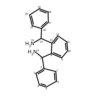 NC(c1ccccc1)c1ccccc1C(N)c1ccccc1